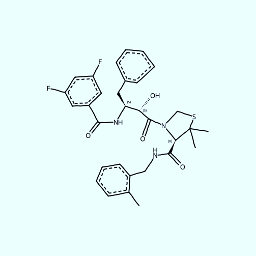 Cc1ccccc1CNC(=O)[C@H]1N(C(=O)[C@@H](O)[C@H](Cc2ccccc2)NC(=O)c2cc(F)cc(F)c2)CSC1(C)C